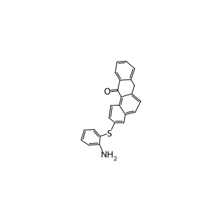 Nc1ccccc1Sc1ccc2c3c(ccc2c1)Cc1ccccc1C3=O